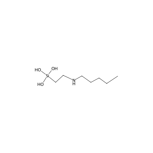 CCCCCNCC[Si](O)(O)O